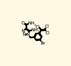 NC(=O)c1nnn(Cc2cc(Br)cc(C(Cl)=C(Cl)Cl)c2)c1N